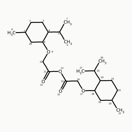 CC1CCC(C(C)C)C(OCC(=O)OC(=O)COC2CC(C)CCC2C(C)C)C1